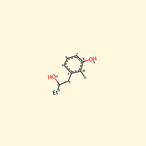 CCC(O)Cc1cccc(O)c1C